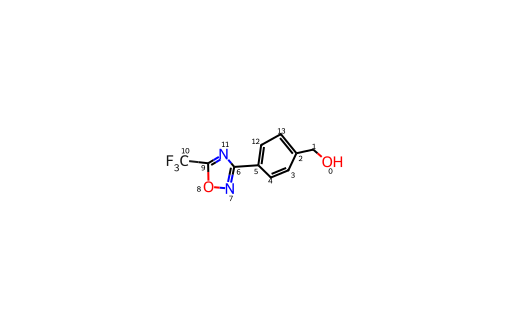 OCc1ccc(-c2noc(C(F)(F)F)n2)cc1